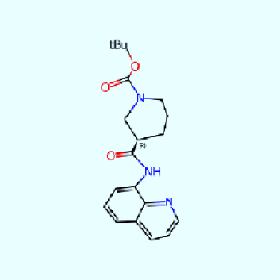 CC(C)(C)OC(=O)N1CCC[C@@H](C(=O)Nc2cccc3cccnc23)C1